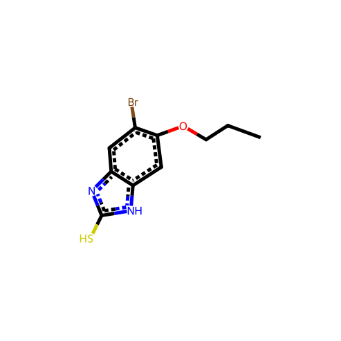 CCCOc1cc2[nH]c(S)nc2cc1Br